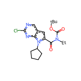 CCN(C(=O)OC(C)(C)C)C(=O)c1cc2cnc(Cl)nc2n1C1CCCC1